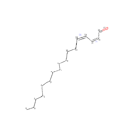 CCCCCCCCCCCC/C=C\C=C/C=O